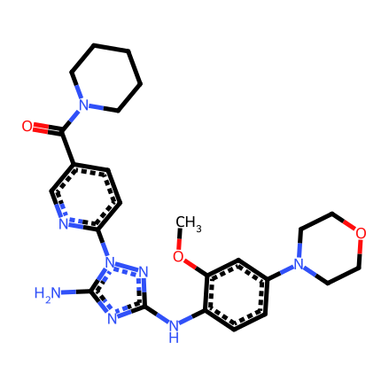 COc1cc(N2CCOCC2)ccc1Nc1nc(N)n(-c2ccc(C(=O)N3CCCCC3)cn2)n1